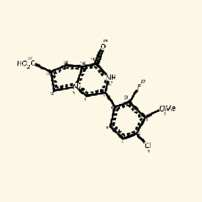 COc1c(Cl)ccc(-c2cn3cc(C(=O)O)cc3c(=O)[nH]2)c1F